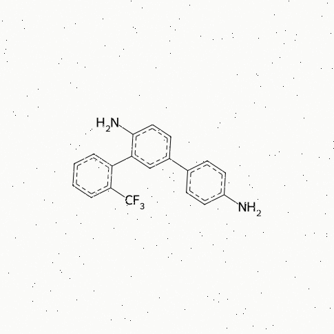 Nc1ccc(-c2ccc(N)c(-c3ccccc3C(F)(F)F)c2)cc1